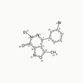 CCn1nc(-c2cccc(Br)c2)c2c(C)onc2c1=O